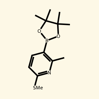 CSc1ccc(B2OC(C)(C)C(C)(C)O2)c(C)n1